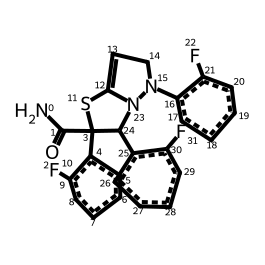 NC(=O)C1(c2ccccc2F)SC2=CCN(c3ccccc3F)N2C1c1ccccc1F